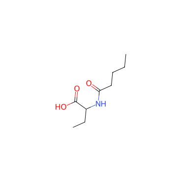 CCCCC(=O)NC(CC)C(=O)O